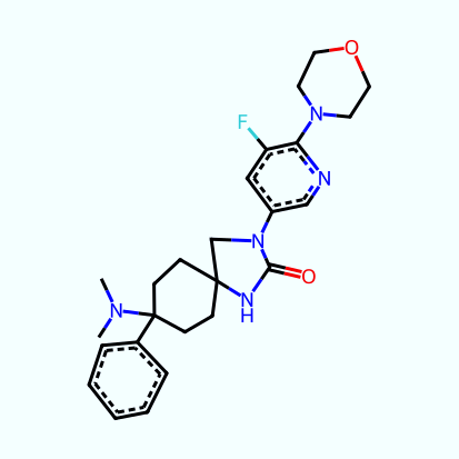 CN(C)C1(c2ccccc2)CCC2(CC1)CN(c1cnc(N3CCOCC3)c(F)c1)C(=O)N2